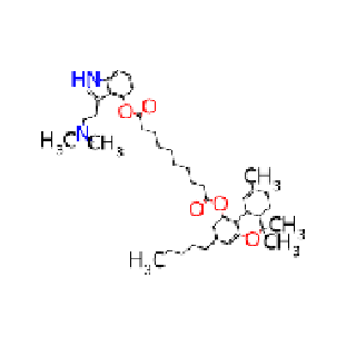 CCCCCc1cc(OC(=O)CCCCCCCCC(=O)Oc2cccc3[nH]cc(CCN(C)C)c23)c2c(c1)OC(C)(C)C1CCC(C)=CC21